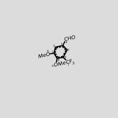 COc1cc(C=O)cc(C(F)(F)F)c1OC